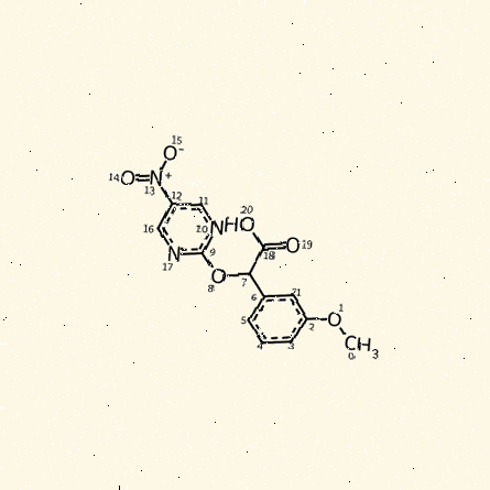 COc1cccc(C(Oc2ncc([N+](=O)[O-])cn2)C(=O)O)c1